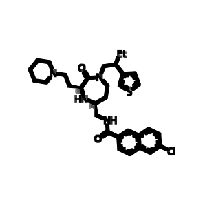 CCC(CN1CC[C@@H](CNC(=O)c2ccc3cc(Cl)ccc3c2)N[C@@H](CCN2CCCCC2)C1=O)c1ccsc1